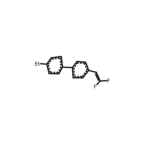 CCc1ccc(-c2ccc(C=C(F)F)cc2)cc1